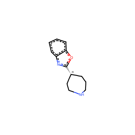 c1ccc2oc([C@@H]3CCCNCC3)nc2c1